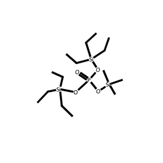 CC[Si](CC)(CC)OP(=O)(O[Si](C)(C)C)O[Si](CC)(CC)CC